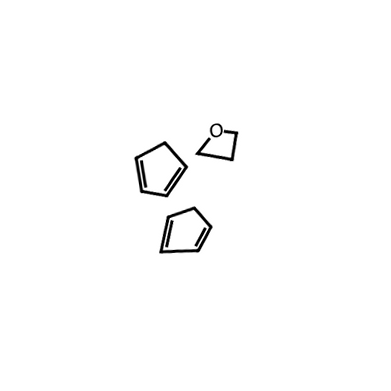 C1=CCC=C1.C1=CCC=C1.C1COC1